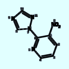 O=[N+]([O-])c1cccnc1-n1cncn1